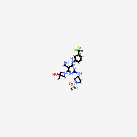 CC1(O)CN(c2nc(N[C@H]3CCN(S(C)(=O)=O)C3)nc(Nc3cccc(C(F)(F)F)c3)c2C=N)C1